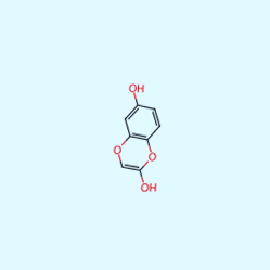 OC1=COc2cc(O)ccc2O1